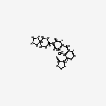 C=C1CCCN1c1cccc(Sc2cnc(N3CCC4(CCCC4)CC3)cn2)c1Cl